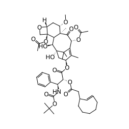 CO[C@H]1C[C@H]2OC[C@@]2(OC(C)=O)C2[C@H](O)[C@]3(O)C[C@H](OC(=O)[C@H](OC(=O)CC4/C=C/CCCCC4)[C@@H](NC(=O)OC(C)(C)C)c4ccccc4)C(C)=C([C@@H](OC(C)=O)C(=O)[C@@]21C)C3(C)C